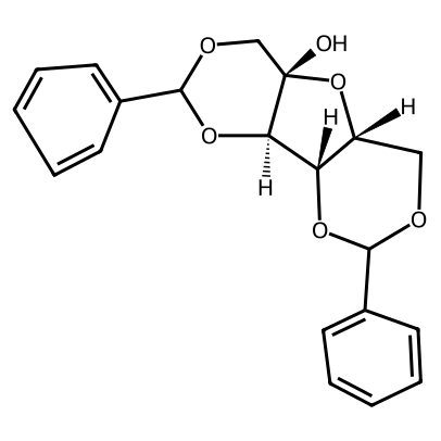 O[C@]12COC(c3ccccc3)O[C@@H]1[C@H]1OC(c3ccccc3)OC[C@H]1O2